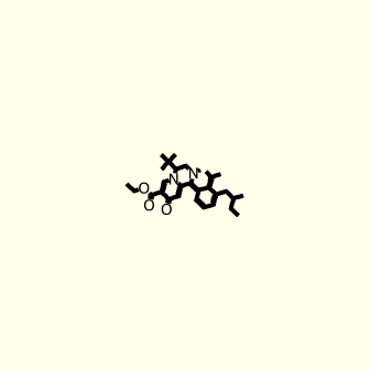 CCOC(=O)c1cn2c(cc1=O)/C(=c1\cccc(CC(C)CC)c1=C(C)C)N(C)CC2C(C)(C)C